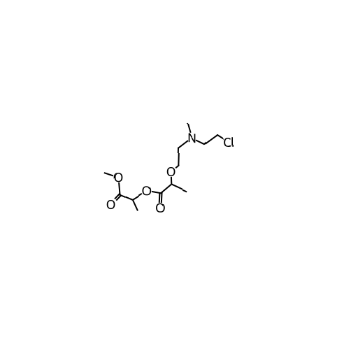 COC(=O)C(C)OC(=O)C(C)OCCN(C)CCCl